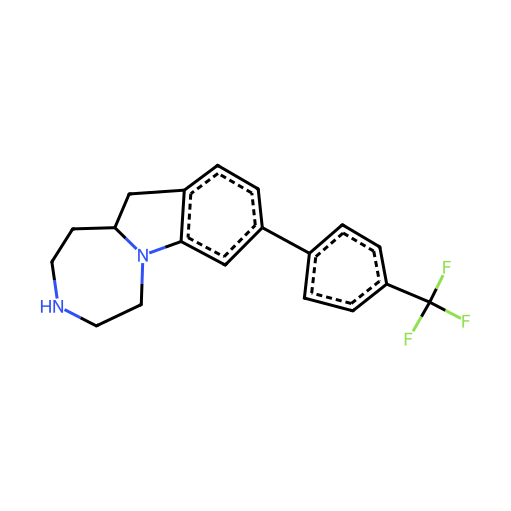 FC(F)(F)c1ccc(-c2ccc3c(c2)N2CCNCCC2C3)cc1